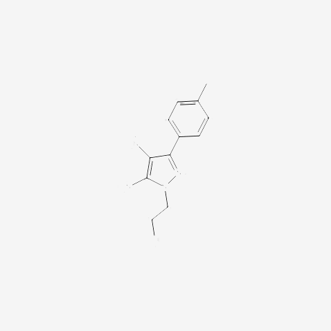 Cc1ccc(-c2nn(CCO)c(N)c2N)cc1